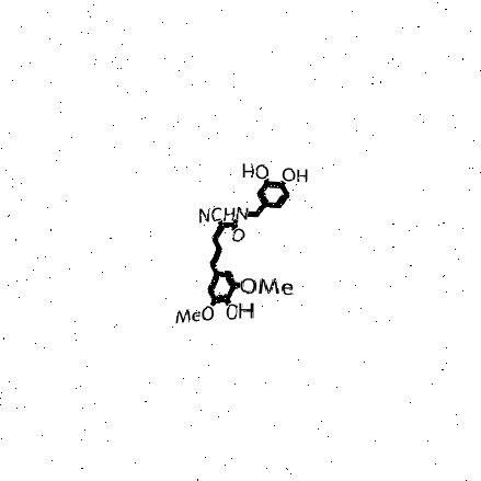 COc1cc(C=CC=C(C#N)C(=O)NCc2ccc(O)c(O)c2)cc(OC)c1O